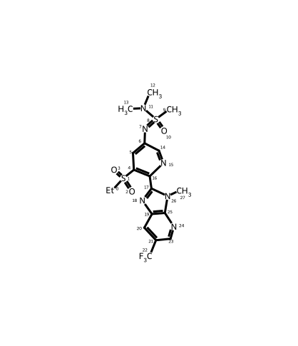 CCS(=O)(=O)c1cc(N=S(C)(=O)N(C)C)cnc1-c1nc2cc(C(F)(F)F)cnc2n1C